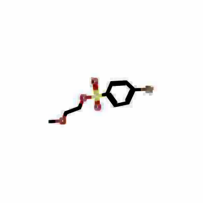 COCCOS(=O)(=O)c1ccc(Br)cc1